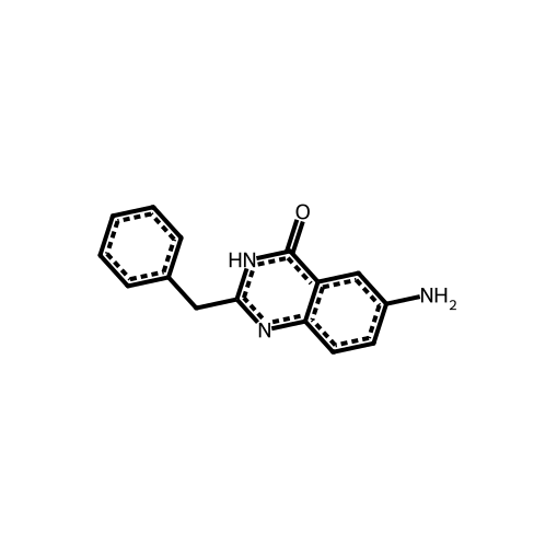 Nc1ccc2nc(Cc3ccccc3)[nH]c(=O)c2c1